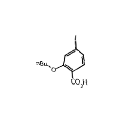 CCCCOc1cc(I)ccc1C(=O)O